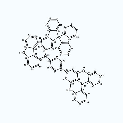 c1ccc(C2(c3ccccc3)c3ccccc3-c3ccc(N(c4ccc(-c5cc6c7c(c5)Oc5ccccc5N7c5ccccc5O6)cc4)c4cccc5oc6ccccc6c45)cc32)cc1